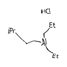 C[CH2][Al]([CH2]C)[CH2]C(C)C.Cl